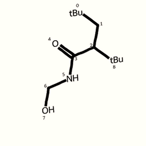 CC(C)(C)CC(C(=O)NCO)C(C)(C)C